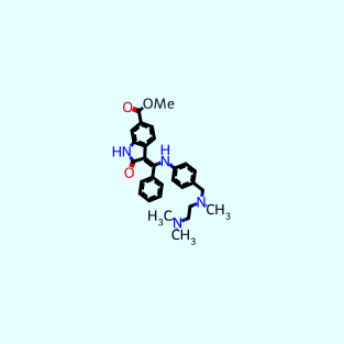 COC(=O)c1ccc2c(c1)NC(=O)C2=C(Nc1ccc(CN(C)CCN(C)C)cc1)c1ccccc1